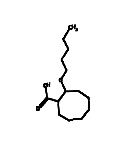 CCCCCOC1CCCCCCC1C(=O)O